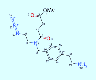 COC(=O)CCC(=O)N(CCN=[N+]=[N-])Cc1ccc(CCN)cc1